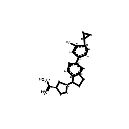 C=C(C(=O)O)[C@@H]1CCN(C2CCc3cc(-c4ccc(C5CC5)c(F)c4)ccc32)C1